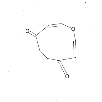 O=C1C=COC=CC(=O)CC1